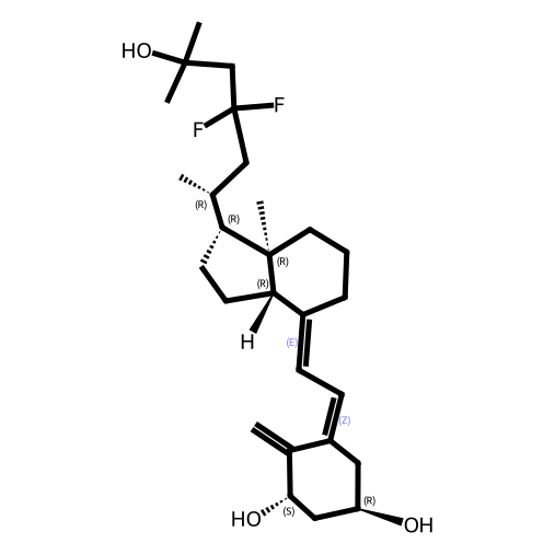 C=C1/C(=C\C=C2/CCC[C@]3(C)[C@@H]([C@H](C)CC(F)(F)CC(C)(C)O)CC[C@@H]23)C[C@@H](O)C[C@@H]1O